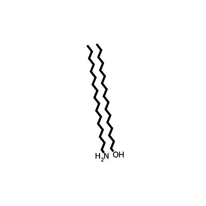 CCCCCCCCCCCCCCCCCN.CCCCCCCCCCCCCCCCCO